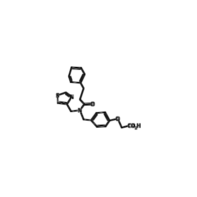 O=C(O)COc1ccc(CN(Cc2cscn2)C(=O)CCc2ccccc2)cc1